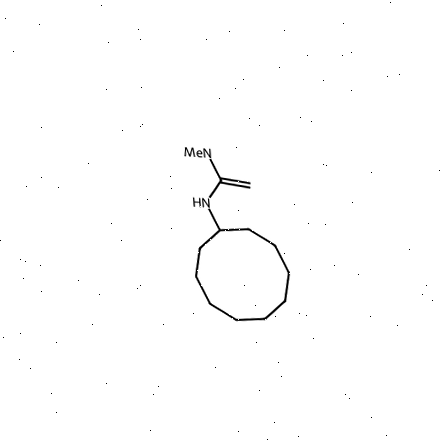 C=C(NC)NC1CCCCCCCCC1